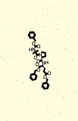 CC(C)(NC(=O)OCc1ccccc1)C(=O)N1CCC[C@H]1C(=O)N[C@@H](CCC(=O)OCc1ccccc1)C(=O)OCc1ccccc1